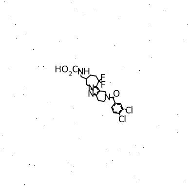 O=C(O)NCC1CCC(F)(F)c2c3c(nn2C1)CCN(C(=O)c1ccc(Cl)c(Cl)c1)C3